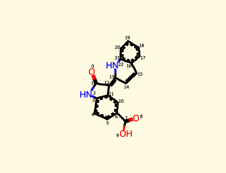 O=C1Nc2ccc(C(=O)O)cc2C1=C1C=Cc2ccccc2N1